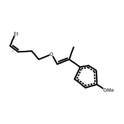 CC/C=C\CCOC=C(C)c1ccc(OC)cc1